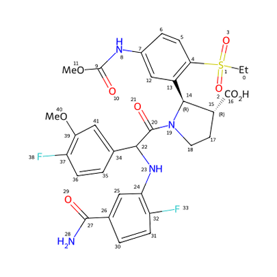 CCS(=O)(=O)c1ccc(NC(=O)OC)cc1[C@H]1[C@H](C(=O)O)CCN1C(=O)C(Nc1cc(C(N)=O)ccc1F)c1ccc(F)c(OC)c1